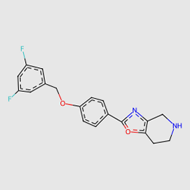 Fc1cc(F)cc(COc2ccc(-c3nc4c(o3)CCNC4)cc2)c1